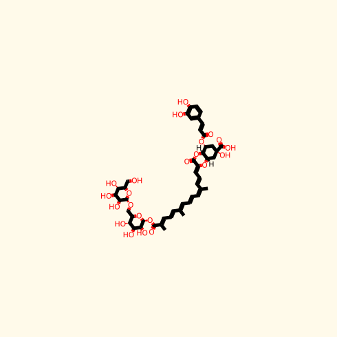 CC(=C/C=C/C=C(C)/C=C/C=C(\C)C(=O)O[C@@H]1OC(CO[C@@H]2OC(CO)[C@@H](O)C(O)C2O)[C@@H](O)C(O)C1O)/C=C/C=C1\O[C@H]2C[C@](O)(C(=O)O)C[C@@H](OC(=O)/C=C/c3ccc(O)c(O)c3)[C@@H]2OC1=O